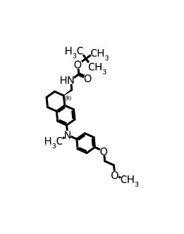 COCCOc1ccc(N(C)c2ccc3c(c2)CCC[C@H]3CNC(=O)OC(C)(C)C)cc1